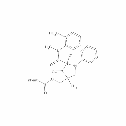 CCCCCC(=O)OCC1(C)CN(c2ccccc2)[N+]([O-])(C(=O)N(C)c2ccccc2C(=O)O)C1=O